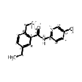 CCc1ccc(CC)c(C(=O)Nc2ccc(Cl)cn2)c1